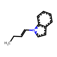 CC/C=C/n1ccc2ccccc21